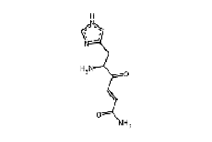 NC(=O)C=CC(=O)[C@@H](N)Cc1c[nH]cn1